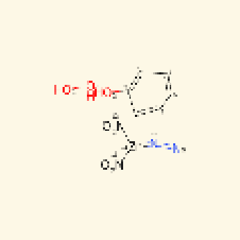 OO.Oc1ccccc1.[N-]=[N+]=[Zn]([N+](=O)[O-])[N+](=O)[O-]